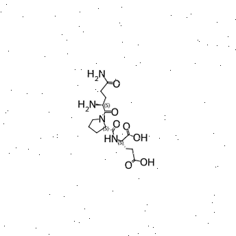 NC(=O)CC[C@H](N)C(=O)N1CCC[C@H]1C(=O)N[C@@H](CCC(=O)O)C(=O)O